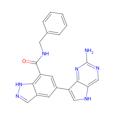 Nc1ncc2[nH]cc(-c3cc(C(=O)NCc4ccccc4)c4[nH]ncc4c3)c2n1